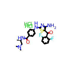 C[C@H](CN(C)C)NC(=O)c1ccc(Nc2nc(N)c(C(=O)c3c(F)cccc3F)s2)cc1.Cl.Cl